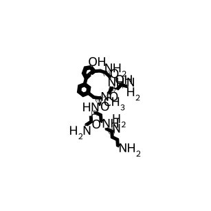 CN1C(=O)[C@H](C[C@@H](O)CN)NC(=O)[C@@H](N)Cc2cc(ccc2O)-c2cccc(c2)C[C@H]1C(=O)N[C@@H](CCCN)CC(=O)NC[C@@H](N)CCCN